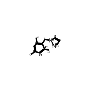 Cc1cc(C)c(Cn2cccn2)c(C)c1